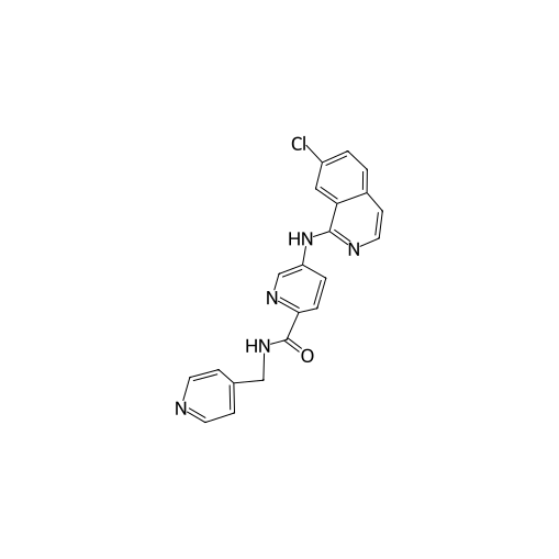 O=C(NCc1ccncc1)c1ccc(Nc2nccc3ccc(Cl)cc23)cn1